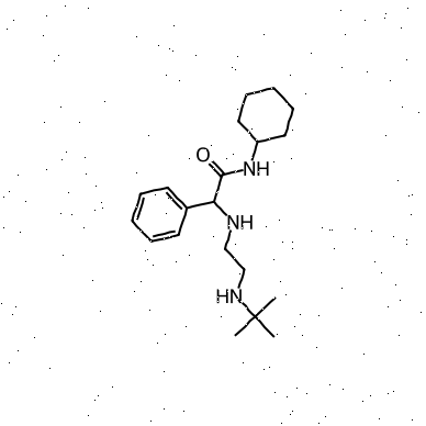 CC(C)(C)NCCNC(C(=O)NC1CCCCC1)c1ccccc1